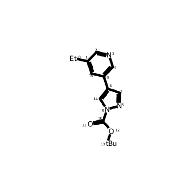 CCc1cncc(-c2cnn(C(=O)OC(C)(C)C)c2)c1